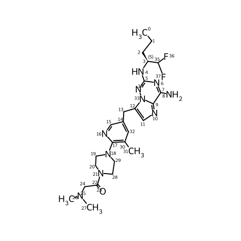 CCC[C@H](Nc1nc(N)c2ncc(Cc3cnc(N4CCN(C(=O)CN(C)C)CC4)c(C)c3)n2n1)C(F)F